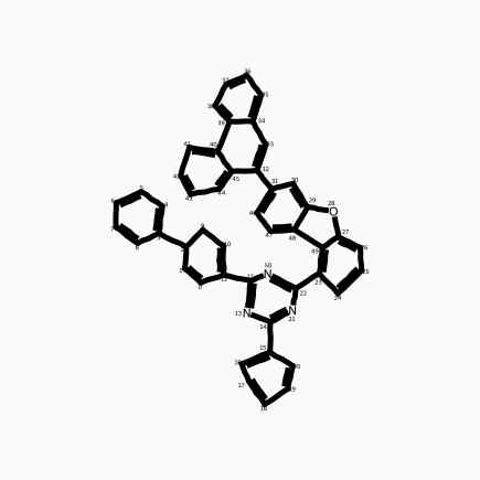 C1=CC(c2ccccc2)CC=C1c1nc(-c2ccccc2)nc(-c2cccc3oc4cc(-c5cc6ccccc6c6ccccc56)ccc4c23)n1